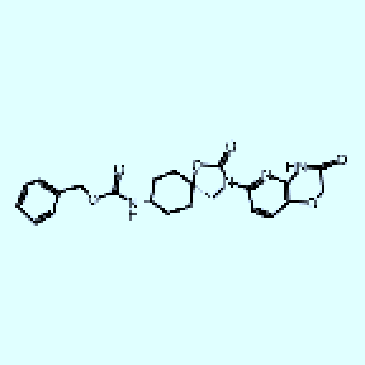 O=C1COc2ccc(N3C[C@]4(CC[C@@H](NC(=O)OCc5ccccc5)CC4)OC3=O)nc2N1